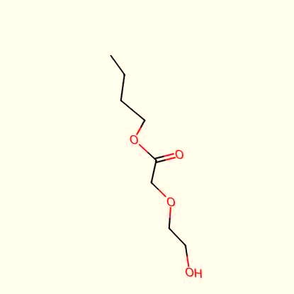 CCCCOC(=O)COCCO